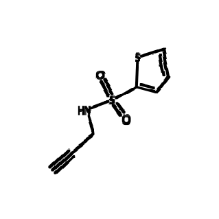 C#CCNS(=O)(=O)c1cccs1